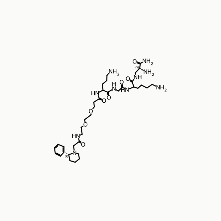 NCCCCC(NC(=O)CNC(=O)C(CCCN)NC(=O)CCOCCOCCNC(=O)CN1CCCC[C@@H]1c1ccccc1)C(=O)NC[C@H](N)C(N)=O